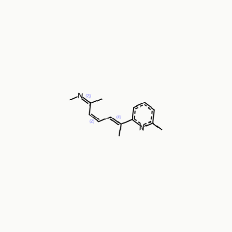 C\N=C(C)/C=C\C=C(/C)c1cccc(C)n1